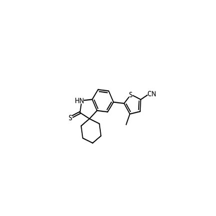 Cc1cc(C#N)sc1-c1ccc2c(c1)C1(CCCCC1)C(=S)N2